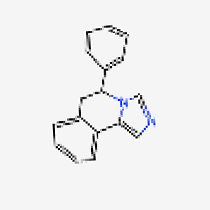 c1ccc(C2Cc3ccccc3-c3cncn32)cc1